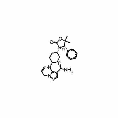 CC1(C)OC(=O)N([C@H]2CC[C@H](N3C=CCn4ncc(C(N)=O)c43)CC2)[C@H]1c1ccccc1